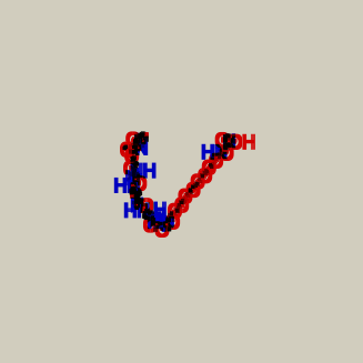 COc1cc2c(cc1OCCCC(=O)Nc1cc(C(=O)Nc3ccc(-c4cc(C(=O)Nc5ccc(NC(=O)[C@H](C)NC(=O)C(NC(=O)CCOCCOCCOCCOCCOCCOCCOCCOCCNC(=O)CCN6C(=O)C=CC6O)C(C)C)cc5)n(C)c4)cc3)n(C)c1)N=CC1CCCCN1C2=O